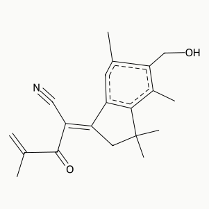 C=C(C)C(=O)/C(C#N)=C1\CC(C)(C)c2c1cc(C)c(CO)c2C